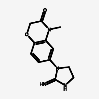 CN1C(=O)COc2ccc(N3CCNC3=N)cc21